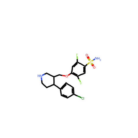 NS(=O)(=O)c1cc(F)c(OCC2CNCCC2c2ccc(Cl)cc2)cc1F